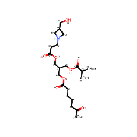 CCCCCCCCCCC(=O)CCCCC(=O)OCC(COC(=O)CCN1CC(CO)C1)COC(=O)C(CCCCCC)CCCCCCCC